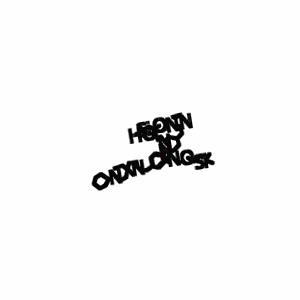 C[Si](C)(C)CCOCn1ccnc1CC(Cc1nccn1COCC[Si](C)(C)C)CN(CCO)Cc1ccc(CN2CCC3(CCN(C4CCCCC4)CC3)C2)cc1